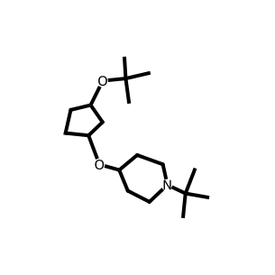 CC(C)(C)OC1CCC(OC2CCN(C(C)(C)C)CC2)C1